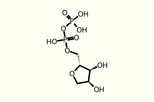 O=P(O)(O)OP(=O)(O)OC[C@H]1OC[C@H](O)[C@@H]1O